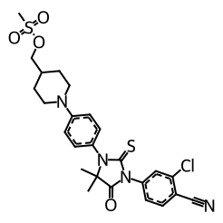 CC1(C)C(=O)N(c2ccc(C#N)c(Cl)c2)C(=S)N1c1ccc(N2CCC(COS(C)(=O)=O)CC2)cc1